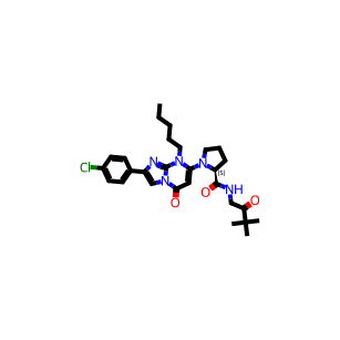 CCCCCn1c(N2CCC[C@H]2C(=O)NCC(=O)C(C)(C)C)cc(=O)n2cc(-c3ccc(Cl)cc3)nc12